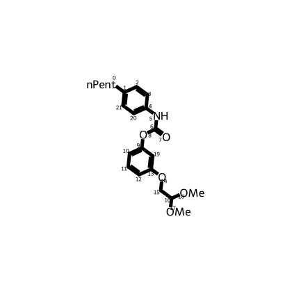 CCCCCc1ccc(NC(=O)Oc2cccc(OCC(OC)OC)c2)cc1